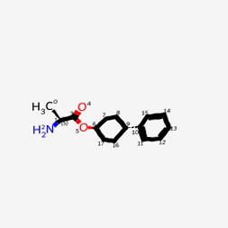 C[C@H](N)C(=O)O[C@H]1CC[C@H](c2ccccc2)CC1